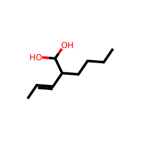 CC=CC(CCCC)C(O)O